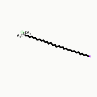 C[Si](C)(Cl)CCCCCCCCCCCCCCCCCCCCCCCCCCCCCCCCCI